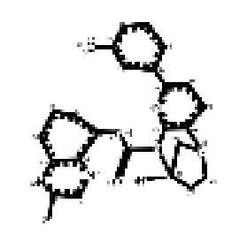 Cc1cnc2c(NC(=O)N3c4nc(-c5cccc(C(F)(F)F)c5)ccc4N4CC[C@H]3C4)cccc2n1